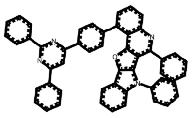 c1ccc(-c2cc(-c3ccc(-c4cccc5nc(-c6ccccc6)c6c(oc7c8ccccc8n(-c8ccccc8)c76)c45)cc3)nc(-c3ccccc3)n2)cc1